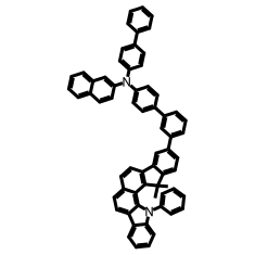 CC1(C)c2ccc(-c3cccc(-c4ccc(N(c5ccc(-c6ccccc6)cc5)c5ccc6ccccc6c5)cc4)c3)cc2-c2ccc3ccc4c5ccccc5n(-c5ccccc5)c4c3c21